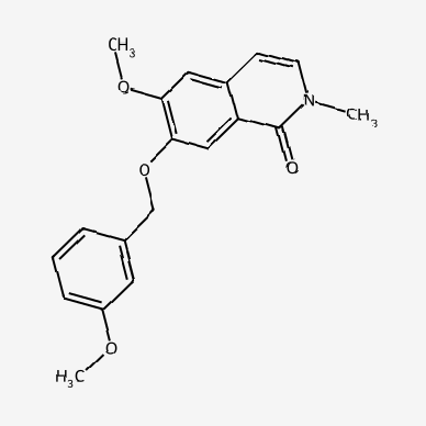 COc1cccc(COc2cc3c(=O)n(C)ccc3cc2OC)c1